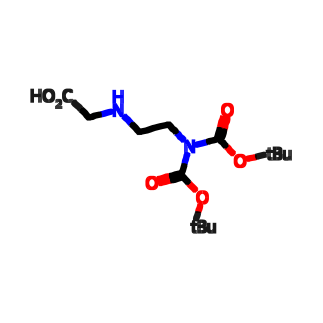 CC(C)(C)OC(=O)N(CCNCC(=O)O)C(=O)OC(C)(C)C